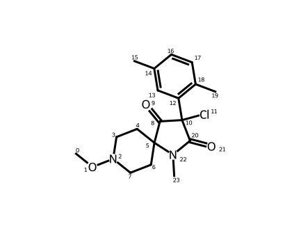 CON1CCC2(CC1)C(=O)C(Cl)(c1cc(C)ccc1C)C(=O)N2C